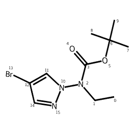 CCN(C(=O)OC(C)(C)C)n1cc(Br)cn1